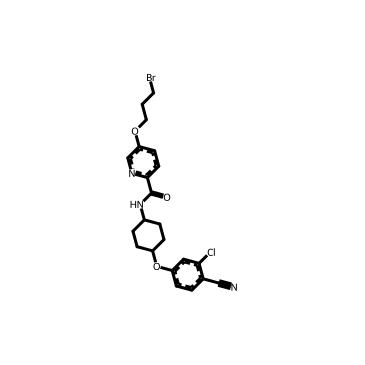 N#Cc1ccc(OC2CCC(NC(=O)c3ccc(OCCCBr)cn3)CC2)cc1Cl